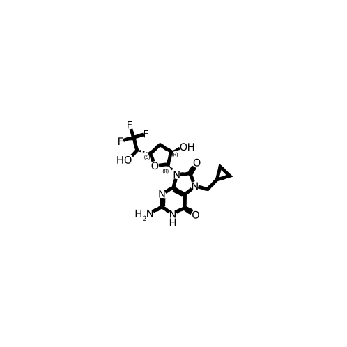 Nc1nc2c(c(=O)[nH]1)n(CC1CC1)c(=O)n2[C@@H]1O[C@H](C(O)C(F)(F)F)C[C@H]1O